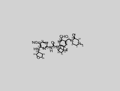 CN1CCN(Cc2cc3c(nc2C=O)N(C(=O)Nc2ncc(C#N)c(NC4CCOC4)n2)C2CC3(F)C2)C(=O)C1